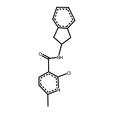 Cc1ccc(C(=O)NC2Cc3ccccc3C2)c(Cl)n1